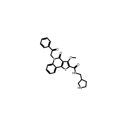 COc1c(C(=O)NCC2CCNC2)sc2c1c(=O)n(CC(=O)c1ccccc1)c1ccccc21